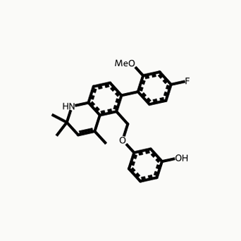 COc1cc(F)ccc1-c1ccc2c(c1COc1cccc(O)c1)C(C)=CC(C)(C)N2